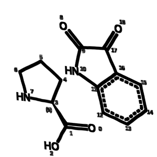 O=C(O)[C@@H]1CCCN1.O=C1Nc2ccccc2C1=O